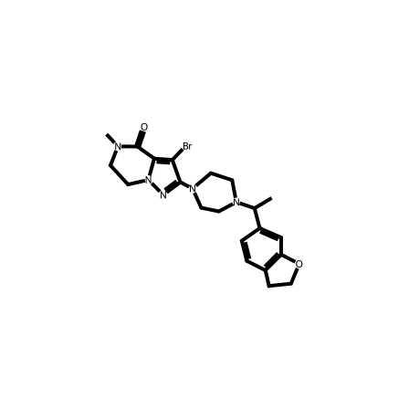 CC(c1ccc2c(c1)OCC2)N1CCN(c2nn3c(c2Br)C(=O)N(C)CC3)CC1